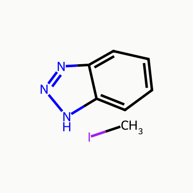 CI.c1ccc2[nH]nnc2c1